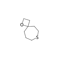 C1CSCCC2(C1)CCO2